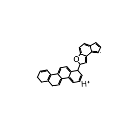 [C]1=c2c(ccc3c2=CC(C2C=CC=c4c2ccc2c4=CCC4=C2C=CCC4)O3)C=C1.[H+]